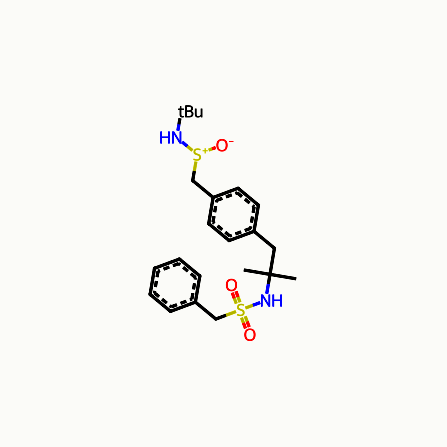 CC(C)(C)N[S+]([O-])Cc1ccc(CC(C)(C)NS(=O)(=O)Cc2ccccc2)cc1